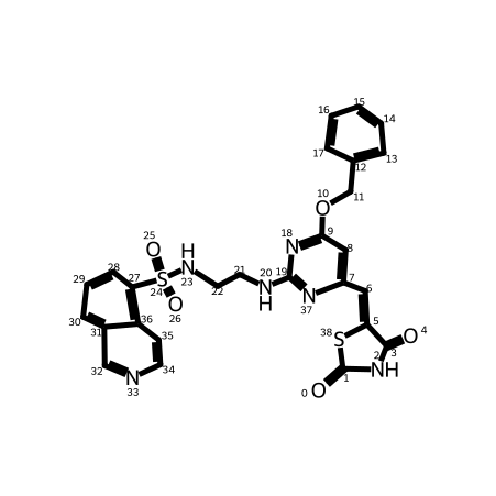 O=C1NC(=O)C(=Cc2cc(OCc3ccccc3)nc(NCCNS(=O)(=O)c3cccc4cnccc34)n2)S1